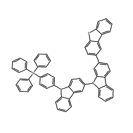 c1ccc([Si](c2ccccc2)(c2ccccc2)c2ccc(-n3c4ccccc4c4cc(-n5c6ccccc6c6ccc(-c7ccc8sc9ccccc9c8c7)cc65)ccc43)cc2)cc1